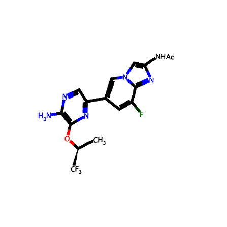 CC(=O)Nc1cn2cc(-c3cnc(N)c(O[C@@H](C)C(F)(F)F)n3)cc(F)c2n1